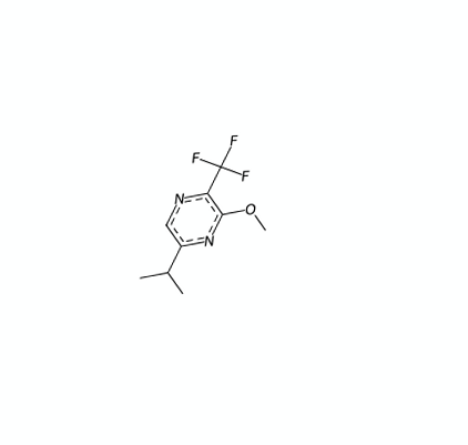 COc1nc(C(C)C)cnc1C(F)(F)F